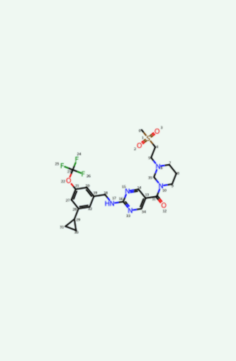 CS(=O)(=O)CCN1CCCN(C(=O)c2cnc(NCc3cc(OC(F)(F)F)cc(C4CC4)c3)nc2)C1